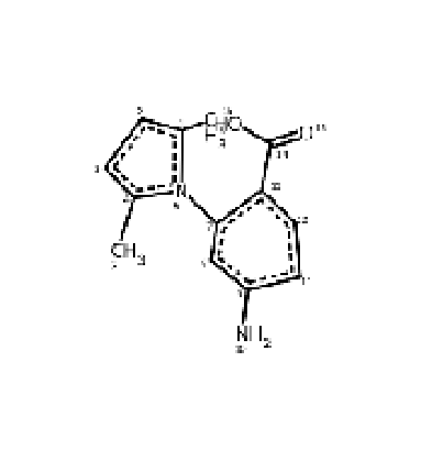 Cc1ccc(C)n1-c1cc(N)ccc1C(=O)O